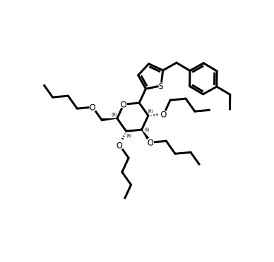 CCCCOC[C@H]1OC(c2ccc(Cc3ccc(CC)cc3)s2)[C@H](OCCCC)[C@@H](OCCCC)[C@@H]1OCCCC